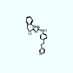 c1ccc2c(c1)CNc1nc(Nc3ccc(CCn4ccnc4)cc3)nn1-2